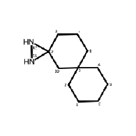 C1CCC2(CC1)CCCC1(C2)NN1